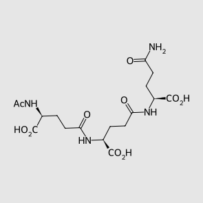 CC(=O)N[C@@H](CCC(=O)N[C@@H](CCC(=O)N[C@@H](CCC(N)=O)C(=O)O)C(=O)O)C(=O)O